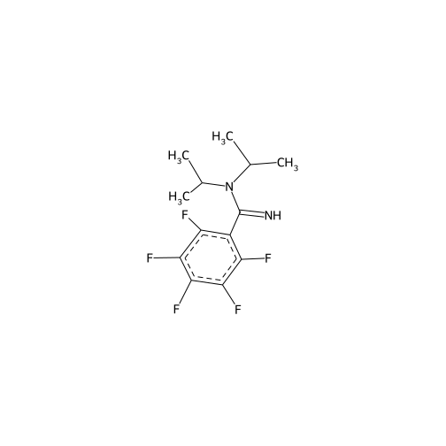 CC(C)N(C(=N)c1c(F)c(F)c(F)c(F)c1F)C(C)C